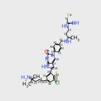 CC(CCNC(=N)CF)NCc1ccc(-n2cc3cc(-c4cc(CCCC(C)(C)N)cc(Cl)c4F)[nH]c3nc2=O)cc1